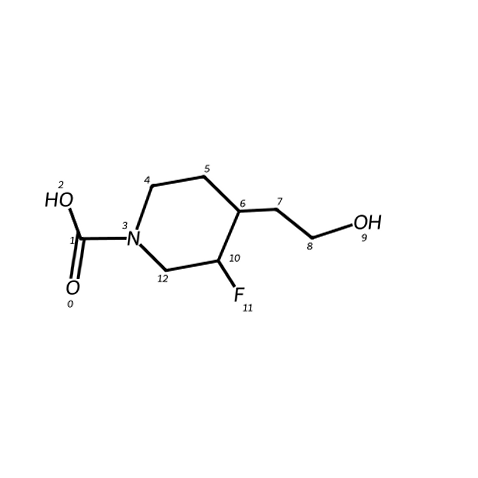 O=C(O)N1CCC(CCO)C(F)C1